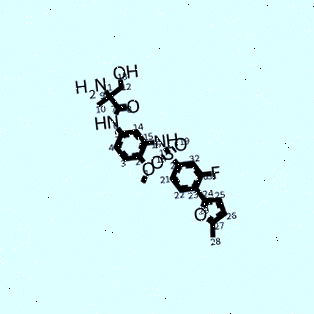 COc1ccc(NC(=O)C(C)(N)CO)cc1NS(=O)(=O)c1ccc(-c2ccc(C)o2)c(F)c1